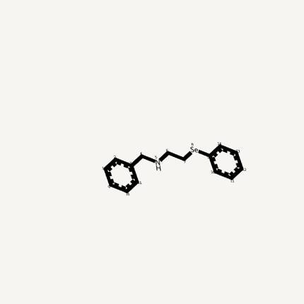 c1ccc(CNCC[Se]c2ccccc2)cc1